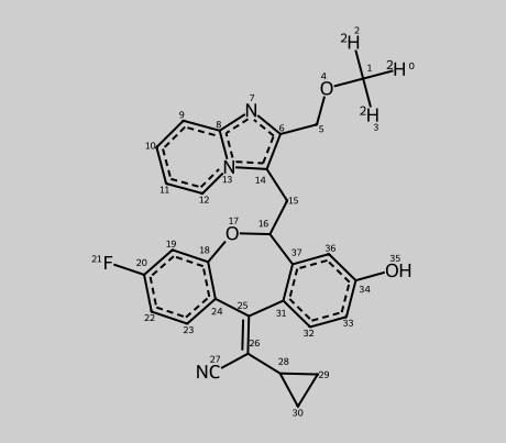 [2H]C([2H])([2H])OCc1nc2ccccn2c1CC1Oc2cc(F)ccc2C(=C(C#N)C2CC2)c2ccc(O)cc21